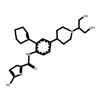 N#CC1=CCC(C(=O)Nc2ccc(C3CCN(C(CO)CO)CC3)cc2C2=CCCCC2)=N1